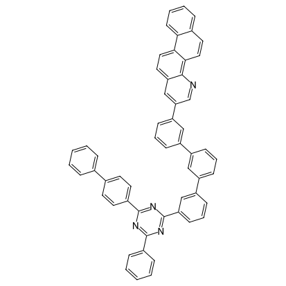 c1ccc(-c2ccc(-c3nc(-c4ccccc4)nc(-c4cccc(-c5cccc(-c6cccc(-c7cnc8c(ccc9c%10ccccc%10ccc98)c7)c6)c5)c4)n3)cc2)cc1